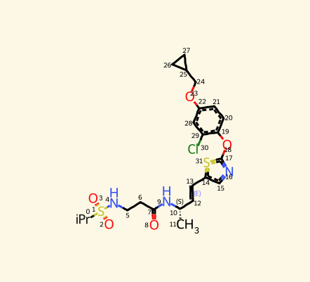 CC(C)S(=O)(=O)NCCC(=O)N[C@@H](C)/C=C/c1cnc(Oc2ccc(OCC3CC3)cc2Cl)s1